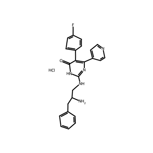 Cl.NC(CNc1nc(-c2ccncc2)c(-c2ccc(F)cc2)c(=O)[nH]1)Cc1ccccc1